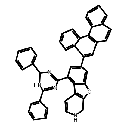 C1=Cc2c(oc3cc(-c4cc5ccc6ccccc6c5c5ccccc45)cc(C4=NC(c5ccccc5)NC(c5ccccc5)=N4)c23)CN1